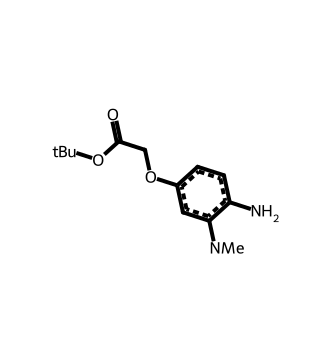 CNc1cc(OCC(=O)OC(C)(C)C)ccc1N